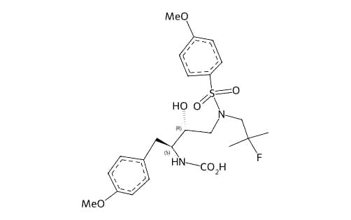 COc1ccc(C[C@H](NC(=O)O)[C@H](O)CN(CC(C)(C)F)S(=O)(=O)c2ccc(OC)cc2)cc1